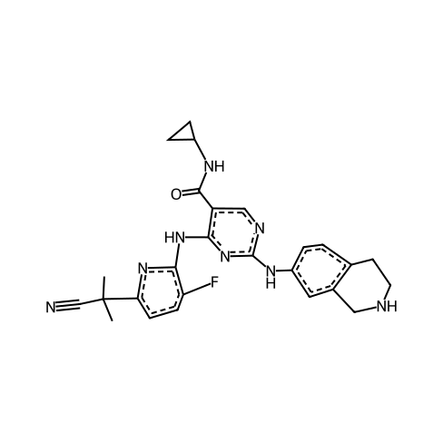 CC(C)(C#N)c1ccc(F)c(Nc2nc(Nc3ccc4c(c3)CNCC4)ncc2C(=O)NC2CC2)n1